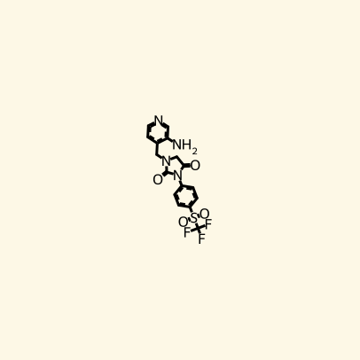 Nc1cnccc1CN1CC(=O)N(c2ccc(S(=O)(=O)C(F)(F)F)cc2)C1=O